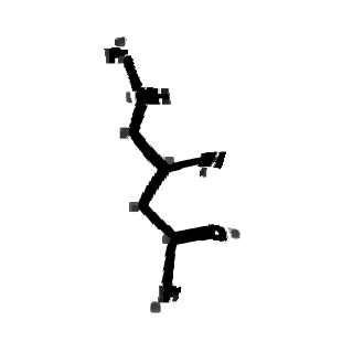 CC(C)NCC(S)CC(=O)C(C)C